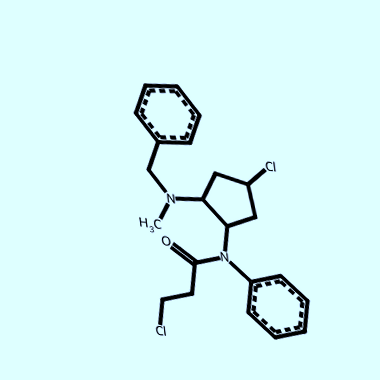 CN(Cc1ccccc1)C1CC(Cl)CC1N(C(=O)CCCl)c1ccccc1